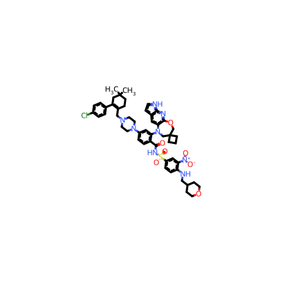 CC1(C)CCC(CN2CCN(c3ccc(C(=O)NS(=O)(=O)c4ccc(NCC5CCOCC5)c([N+](=O)[O-])c4)c(N4CC5(CCC5)COc5nc6[nH]ccc6cc54)c3)CC2)=C(c2ccc(Cl)cc2)C1